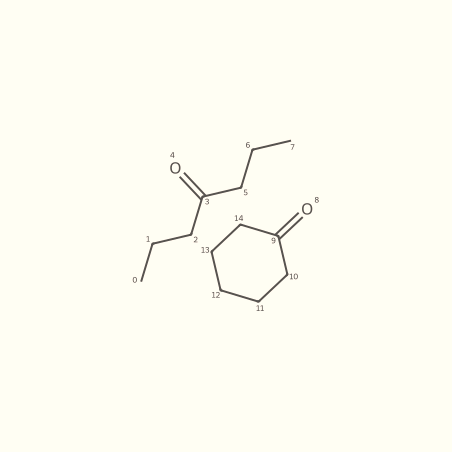 CCCC(=O)CCC.O=C1CCCCC1